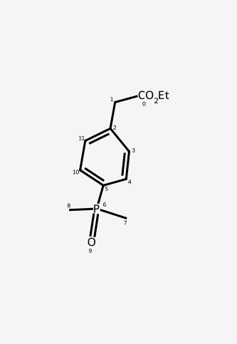 CCOC(=O)Cc1ccc(P(C)(C)=O)cc1